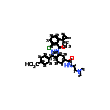 CN(C)CCNC(=O)C1CCc2c(C3=CCC(C(=O)O)CC3)nn(C(=O)c3c(Cl)cccc3C3(C(F)(F)F)CC3)c2C1